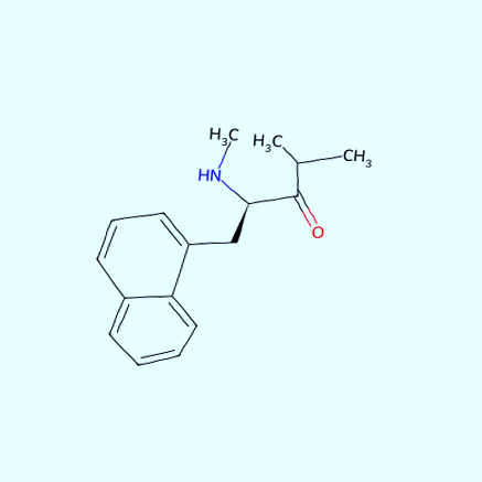 CN[C@H](Cc1cccc2ccccc12)C(=O)C(C)C